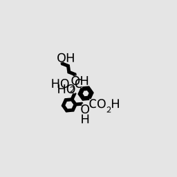 O=C(O)c1ccc(C(=O)O)cc1.OCC1CCCCC1CO.OCCCCO